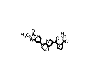 Cn1nc2cc(N3CCOc4cc(C(=O)N5CCCC5C(N)=O)cnc43)ccn2c1=O